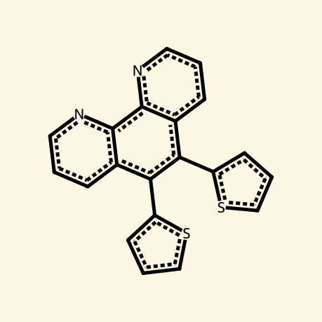 c1csc(-c2c(-c3cccs3)c3cccnc3c3ncccc23)c1